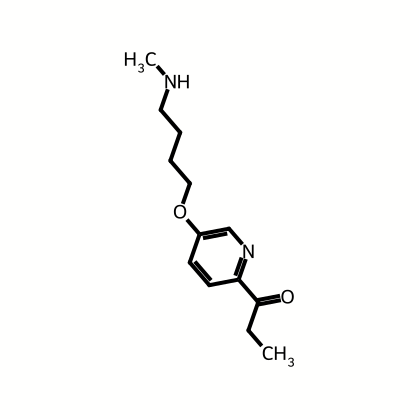 CCC(=O)c1ccc(OCCCCNC)cn1